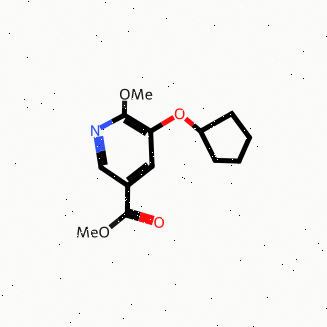 COC(=O)c1cnc(OC)c(OC2CCCC2)c1